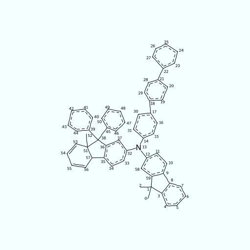 CC1(C)c2ccccc2-c2ccc(N(c3ccc(-c4ccc(-c5ccccc5)cc4)cc3)c3ccc4c(c3)C(c3ccccc3)(c3ccccc3)C3(C)C=CC=CC43)cc21